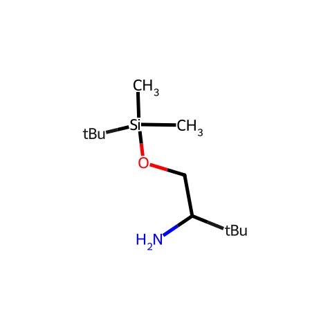 CC(C)(C)C(N)CO[Si](C)(C)C(C)(C)C